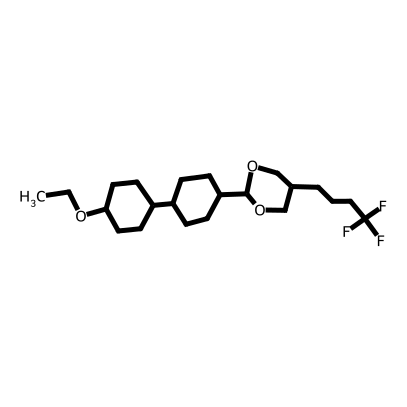 CCOC1CCC(C2CCC(C3OCC(CCCC(F)(F)F)CO3)CC2)CC1